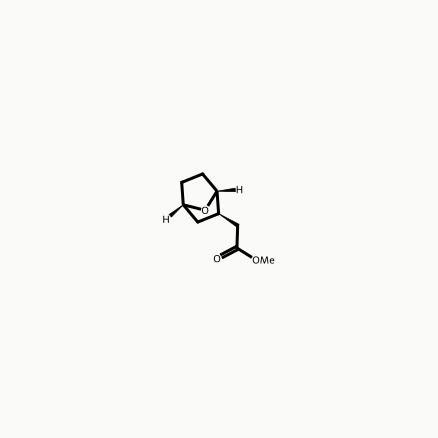 COC(=O)C[C@H]1C[C@@H]2CC[C@H]1O2